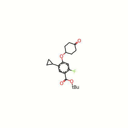 CC(C)(C)OC(=O)c1cc(C2CC2)c(OC2CCC(=O)CC2)cc1F